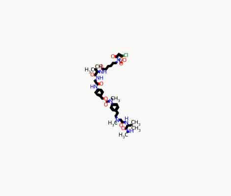 CNC(=O)C(NC(=O)CN(C)CCc1ccc(N(C)C(=O)OCc2ccc(NC(=O)CNC(=O)C(NC(=O)CCCCCN3C(=O)C=C(Cl)S3(=O)=O)C(C)C)cc2)cc1)C(C)C